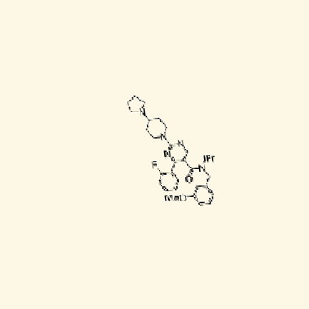 COc1cccc(CN(C(=O)c2cnc(N3CCC(N4CCCC4)CC3)nc2-c2ccccc2F)C(C)C)c1